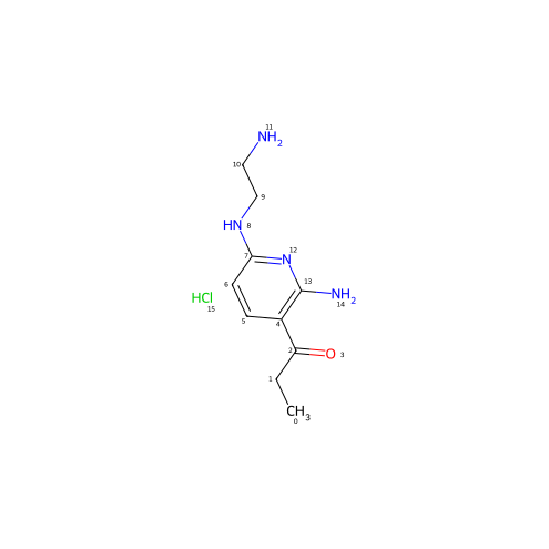 CCC(=O)c1ccc(NCCN)nc1N.Cl